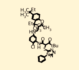 CCC(C)(C)c1ccc(OC(C)CCNc2ccc(Cl)c(NC(=O)C(Sc3nnnn3-c3ccccc3)C(=O)C(C)(C)C)c2)c(C(C)(C)CC)c1